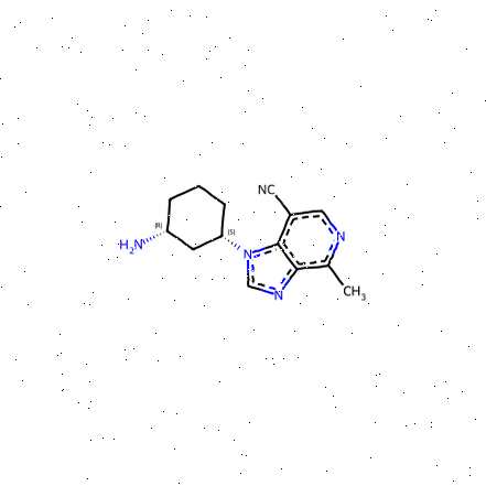 Cc1ncc(C#N)c2c1ncn2[C@H]1CCC[C@@H](N)C1